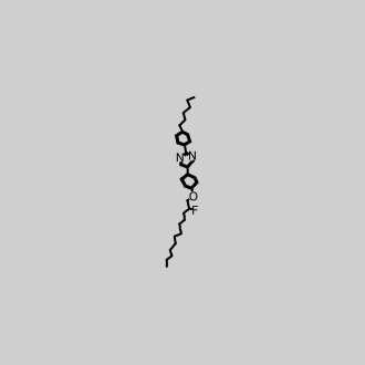 CCCCCCCCCCC(F)COc1ccc(-c2cnc(-c3ccc(CCCCCC)cc3)nc2)cc1